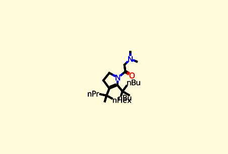 CCCCCCC(C)(CCC)C1=C(C(C)(CCCC)CCCC)N(C(=O)CN(C)C)CC1